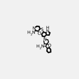 Nc1nccc(Sc2ccc(N3CCC4(CC3)Oc3ccccc3[C@H]4N)c3cc[nH]c23)c1Cl